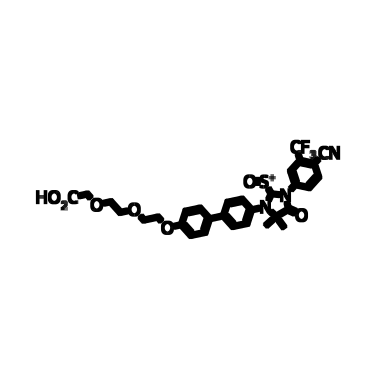 CC1(C)C(=O)N(c2ccc(C#N)c(C(F)(F)F)c2)C([S+]=O)N1c1ccc(-c2ccc(OCCOCCOCC(=O)O)cc2)cc1